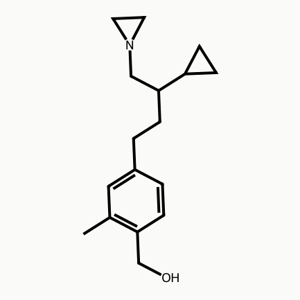 Cc1cc(CCC(CN2CC2)C2CC2)ccc1CO